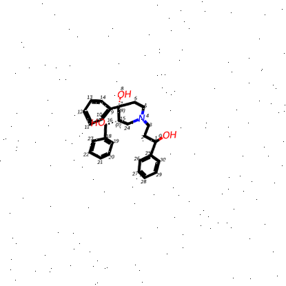 OC(CCN1CC[C@](O)(c2ccccc2)[C@@H](C(O)c2ccccc2)C1)c1ccccc1